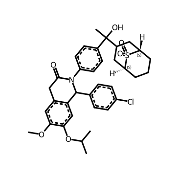 COc1cc2c(cc1OC(C)C)C(c1ccc(Cl)cc1)N(c1ccc(C(C)(O)C3C[C@@H]4CCC[C@@H](C3)S4(=O)=O)cc1)C(=O)C2